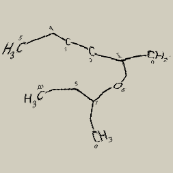 [CH2]C(CCCC)OC(C)CC